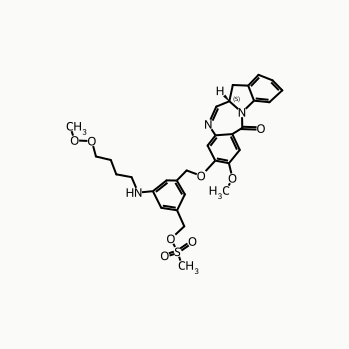 COOCCCCNc1cc(COc2cc3c(cc2OC)C(=O)N2c4ccccc4C[C@H]2C=N3)cc(COS(C)(=O)=O)c1